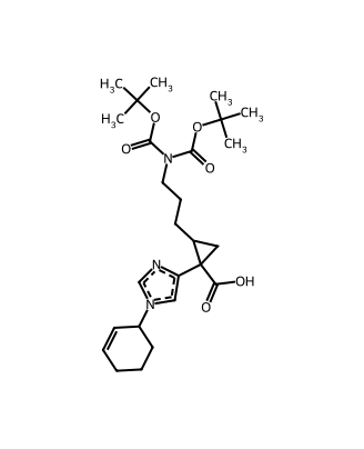 CC(C)(C)OC(=O)N(CCCC1CC1(C(=O)O)c1cn(C2C=CCCC2)cn1)C(=O)OC(C)(C)C